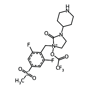 CS(=O)(=O)c1cc(F)c(C[N+]2(OC(=O)C(F)(F)F)CCN(C3CCNCC3)C2=O)c(F)c1